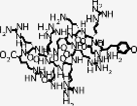 N=C(N)NCCC[C@H](NC(=O)[C@H](CCCNC(=N)N)NC(=O)[C@H](CCCNC(=N)N)NC(=O)[C@H](CCC(N)=O)NC(=O)[C@H](CCCNC(=N)N)NC(=O)[C@H](CCCNC(=N)N)NC(=O)[C@H](CCCN)NC(=O)[C@H](CCCN)NC(=O)[C@H](CCCNC(=N)N)NC(=O)CNC(=O)[C@@H](N)Cc1ccc(O)cc1)C(=O)O